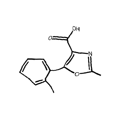 Cc1nc(C(=O)O)c(-c2ccccc2C)o1